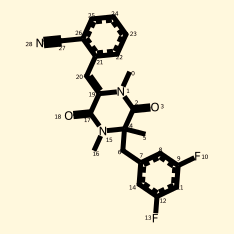 CN1C(=O)C(C)(Cc2cc(F)cc(F)c2)N(C)C(=O)C1=Cc1ccccc1C#N